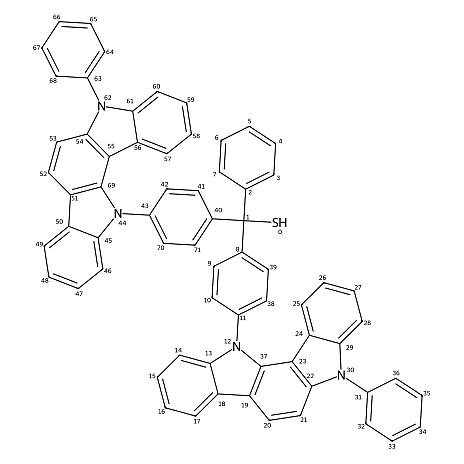 SC(c1ccccc1)(c1ccc(-n2c3ccccc3c3ccc4c(c5ccccc5n4-c4ccccc4)c32)cc1)c1ccc(-n2c3ccccc3c3ccc4c(c5ccccc5n4-c4ccccc4)c32)cc1